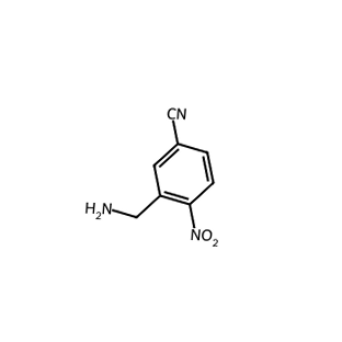 N#Cc1ccc([N+](=O)[O-])c(CN)c1